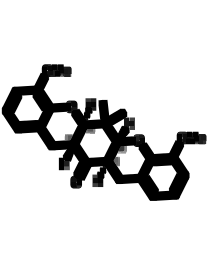 COc1cccc2c1O[C@@H]1[C@@H](C2)C(=O)[C@@H]2Cc3cccc(OC)c3O[C@H]2C1(C)C